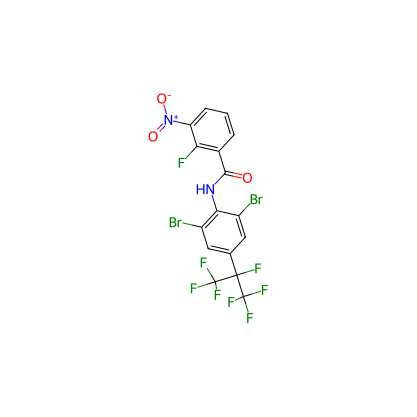 O=C(Nc1c(Br)cc(C(F)(C(F)(F)F)C(F)(F)F)cc1Br)c1cccc([N+](=O)[O-])c1F